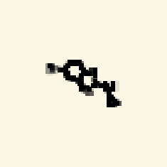 Brc1ccc2nc(NC3CC3)ncc2c1